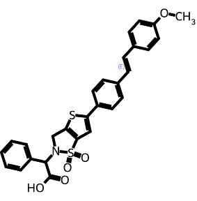 COc1ccc(/C=C/c2ccc(-c3cc4c(s3)CN(C(C(=O)O)c3ccccc3)S4(=O)=O)cc2)cc1